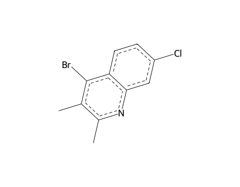 Cc1nc2cc(Cl)ccc2c(Br)c1C